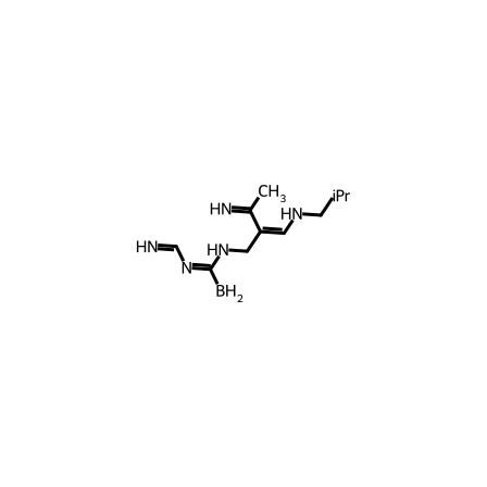 B/C(=N/C=N)NC/C(=C/NCC(C)C)C(C)=N